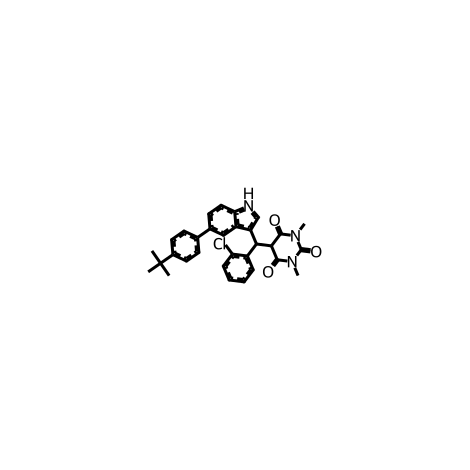 CN1C(=O)C(C(c2ccccc2Cl)c2c[nH]c3ccc(-c4ccc(C(C)(C)C)cc4)cc23)C(=O)N(C)C1=O